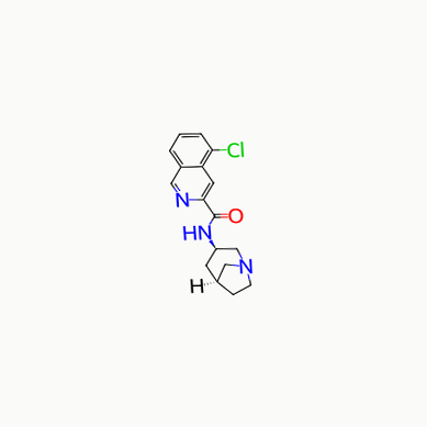 O=C(N[C@@H]1C[C@@H]2CCN(C2)C1)c1cc2c(Cl)cccc2cn1